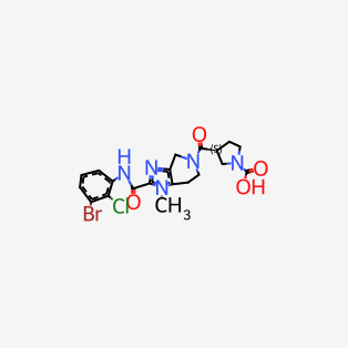 Cn1c(C(=O)Nc2cccc(Br)c2Cl)nc2c1CCN(C(=O)[C@H]1CCN(C(=O)O)C1)C2